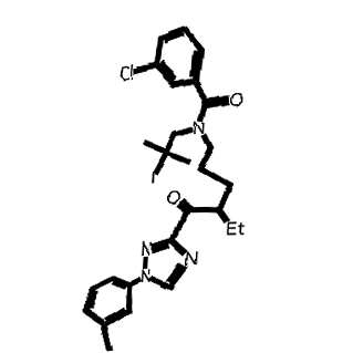 CCC(CCCN(CC(C)(C)I)C(=O)c1cccc(Cl)c1)C(=O)c1ncn(-c2cccc(C)c2)n1